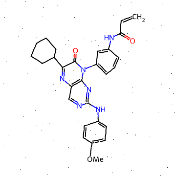 C=CC(=O)Nc1cccc(-n2c(=O)c(C3CCCCC3)nc3cnc(Nc4ccc(OC)cc4)nc32)c1